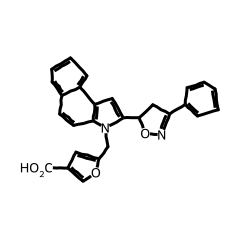 O=C(O)c1coc(Cn2c(C3CC(c4ccccc4)=NO3)cc3c4ccccc4ccc32)c1